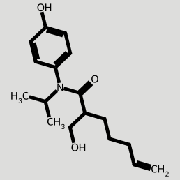 C=CCCCC(CO)C(=O)N(c1ccc(O)cc1)C(C)C